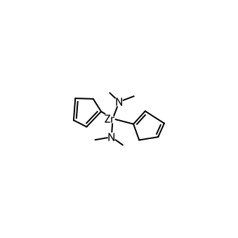 C[N](C)[Zr]([C]1=CC=CC1)([C]1=CC=CC1)[N](C)C